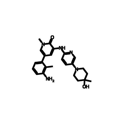 Cc1c(N)cccc1-c1cc(Nc2ccc(N3CCC(C)(O)CC3)cn2)c(=O)n(C)c1